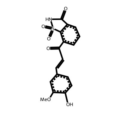 COc1cc(C=CC(=O)c2cccc3c2S(=O)(=O)NC3=O)ccc1O